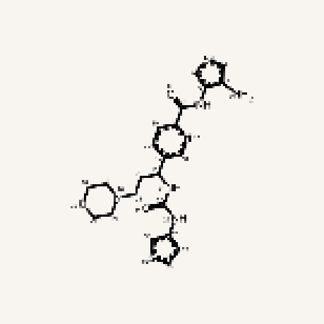 Nc1cscc1NC(=O)c1ccc(C(CCN2CCOCC2)NC(=O)Nc2ccsc2)cn1